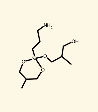 CC(CO)CO[Si]1(CCCN)OCC(C)CO1